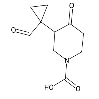 O=CC1(C2CN(C(=O)O)CCC2=O)CC1